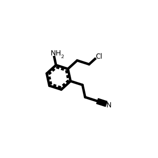 N#CCCc1cccc(N)c1CCCl